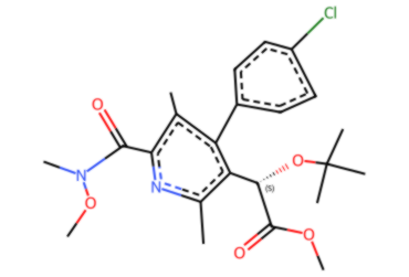 COC(=O)[C@@H](OC(C)(C)C)c1c(C)nc(C(=O)N(C)OC)c(C)c1-c1ccc(Cl)cc1